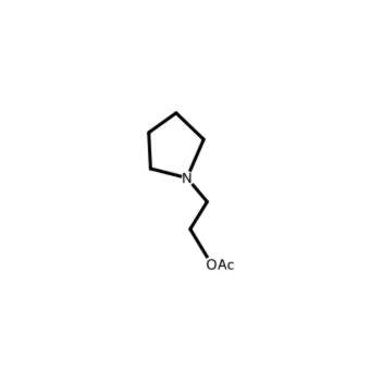 CC(=O)OCCN1CCCC1